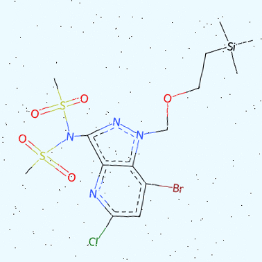 C[Si](C)(C)CCOCn1nc(N(S(C)(=O)=O)S(C)(=O)=O)c2nc(Cl)cc(Br)c21